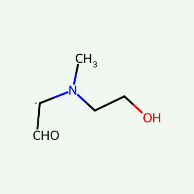 CN([CH]C=O)CCO